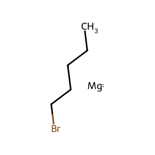 CCCCCBr.[Mg]